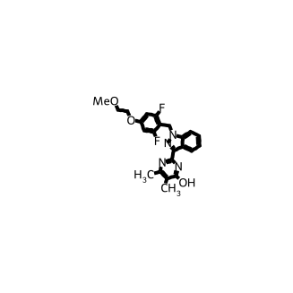 COCCOc1cc(F)c(Cn2nc(-c3nc(C)c(C)c(O)n3)c3ccccc32)c(F)c1